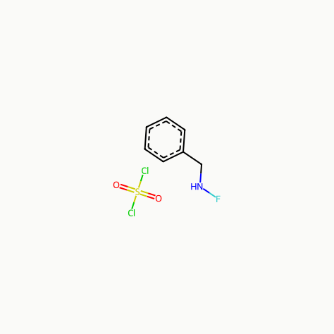 FNCc1ccccc1.O=S(=O)(Cl)Cl